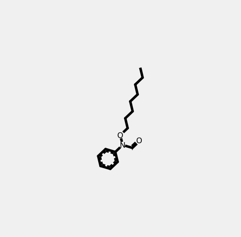 CCCCCCCCON([C]=O)c1ccccc1